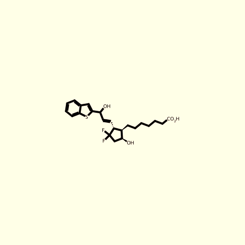 O=C(O)CCCCCC[C@@H]1[C@@H](C=CC(O)c2cc3ccccc3s2)C(F)(F)C[C@@H]1O